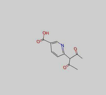 CC(=O)C(C(C)=O)c1ccc(C(=O)O)cn1